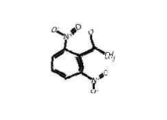 CC([O])c1c([N+](=O)[O-])cccc1[N+](=O)[O-]